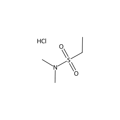 CCS(=O)(=O)N(C)C.Cl